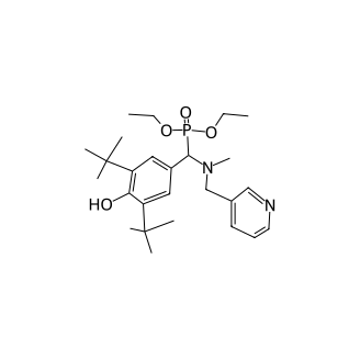 CCOP(=O)(OCC)C(c1cc(C(C)(C)C)c(O)c(C(C)(C)C)c1)N(C)Cc1cccnc1